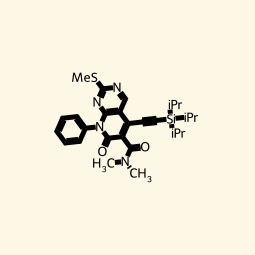 CSc1ncc2c(C#C[Si](C(C)C)(C(C)C)C(C)C)c(C(=O)N(C)C)c(=O)n(-c3ccccc3)c2n1